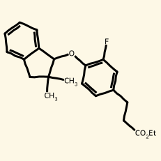 CCOC(=O)CCc1ccc(OC2c3ccccc3CC2(C)C)c(F)c1